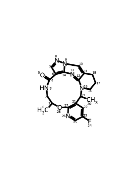 CC1CNC(=O)c2cnn3cc4c(nc23)N(CCC4)C(C)c2cc(F)cnc2O1